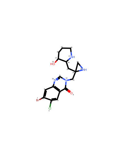 O=c1c2cc(Cl)c(Br)cc2ncn1CC1(CC2NCCCC2O)CN1